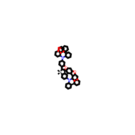 C[Si]1(C)c2ccc(N(c3ccccc3-c3ccccc3)c3cccc4oc5ccccc5c34)cc2-c2oc3cc(N(c4ccccc4-c4ccccc4)c4cccc5oc6ccccc6c45)ccc3c21